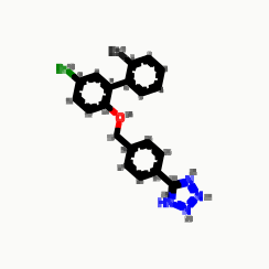 CCc1ccccc1-c1cc(Br)ccc1OCc1ccc(-c2nnn[nH]2)cc1